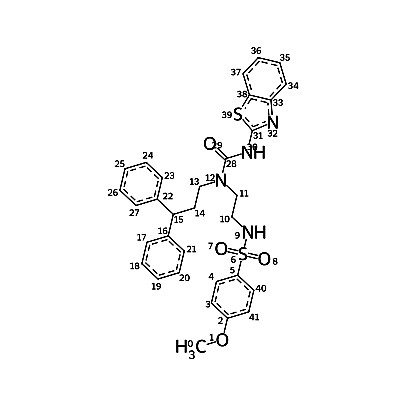 COc1ccc(S(=O)(=O)NCCN(CCC(c2ccccc2)c2ccccc2)C(=O)Nc2nc3ccccc3s2)cc1